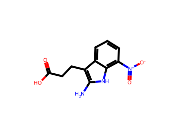 Nc1[nH]c2c([N+](=O)[O-])cccc2c1CCC(=O)O